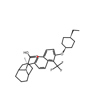 CC[C@H]1CC[C@@H](Oc2ccc3cc([C@@H](C)N4C5CCCC4CC(C(=O)O)C5)ccc3c2C(F)(F)F)CC1